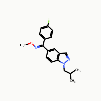 CON=C(c1ccc(F)cc1)c1ccc2c(cnn2CC(C)C)c1